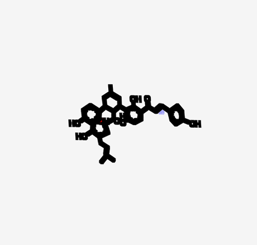 CC(C)=CCc1cc(C(=O)C2C(c3c(O)ccc(C(=O)/C=C/c4ccc(O)cc4)c3O)C=C(C)CC2c2ccc(O)cc2O)ccc1O